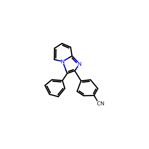 N#Cc1ccc(-c2nc3ccccn3c2-c2ccccc2)cc1